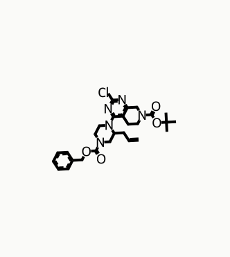 C=CCC1CN(C(=O)OCc2ccccc2)CCN1c1nc(Cl)nc2c1CCN(C(=O)OC(C)(C)C)C2